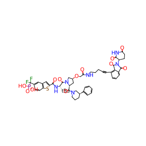 CC(C)(C)[C@H](NC(=O)c1cc2cc(C(F)(F)P(=O)(O)O)ccc2s1)C(=O)N1C[C@@H](OCC(=O)NCCCC#Cc2cccc3c2C(=O)N(C2CCC(=O)NC2=O)C3=O)C[C@H]1C(=O)N1CCC[C@H](c2ccccc2)C1